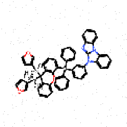 C[Si](C)(c1ccoc1)C1([Si](C)(C)c2ccoc2)c2ccccc2Oc2c1cccc2[Si](c1ccccc1)(c1ccccc1)c1cccc(-n2c3ccccc3n3c4ccccc4nc23)c1